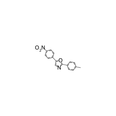 Cc1ccc(-c2ncc(-c3ccc([N+](=O)[O-])cc3)o2)cc1